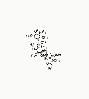 CC[C@H](C)[C@@H]([C@@H](CC(=O)N1CCC[C@H]1[C@H](OC)[C@@H](C)C(=O)N[C@H](C)C(O)C1=CC(C)C(C)=C(C)C1C)OC)N(C)C(=O)CC(C)C